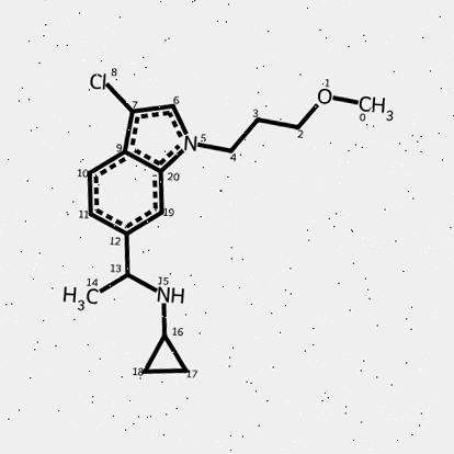 COCCCn1cc(Cl)c2ccc(C(C)NC3CC3)cc21